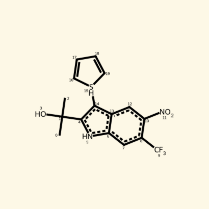 CC(C)(O)c1[nH]c2cc(C(F)(F)F)c([N+](=O)[O-])cc2c1[SH]1C=CC=C1